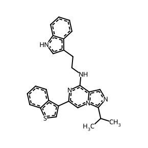 CC(C)c1ncc2c(NCCc3c[nH]c4ccccc34)nc(-c3csc4ccccc34)cn12